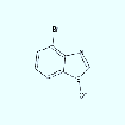 [O-][s+]1cnc2c(Br)cccc21